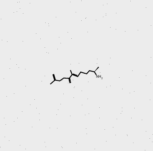 C=C(C)CCC(=C)/C(C)=C/CCC[C@@H](C)N